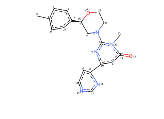 Cc1ccc([C@@H]2CN(c3nc(-c4ccncn4)cc(=O)n3C)CCO2)cc1